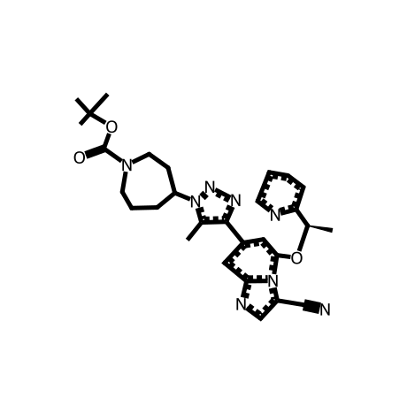 Cc1c(-c2cc(O[C@H](C)c3ccccn3)n3c(C#N)cnc3c2)nnn1C1CCCN(C(=O)OC(C)(C)C)CC1